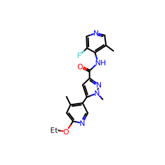 CCOc1cc(C)c(-c2cc(C(=O)Nc3c(C)cncc3F)nn2C)cn1